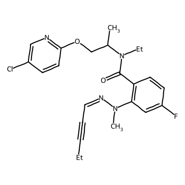 CCC#C/C=N\N(C)c1cc(F)ccc1C(=O)N(CC)C(C)COc1ccc(Cl)cn1